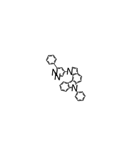 c1ccc(-c2cc(-n3ccc4ccc5c(c6ccccc6n5-c5ccccc5)c43)cnn2)cc1